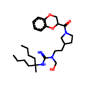 CCCCC(C)(CCCC)NC(=N)N(CO)CCC1CCN(C(=O)C2COc3ccccc3O2)C1